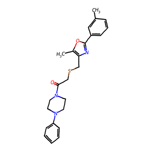 Cc1cccc(-c2nc(CSCC(=O)N3CCN(c4ccccc4)CC3)c(C)o2)c1